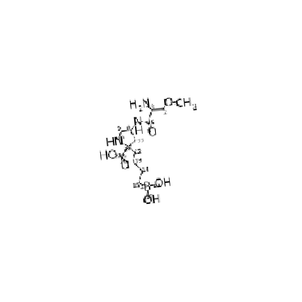 COCC(N)C(=O)NC1CNC(CCCCB(O)O)(C(=O)O)C1